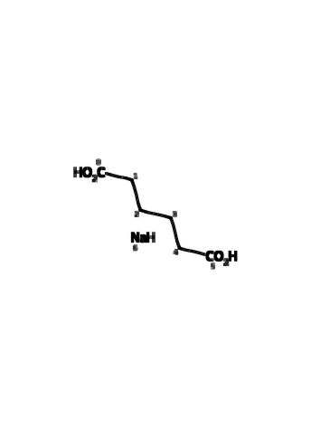 O=C(O)CCCCC(=O)O.[NaH]